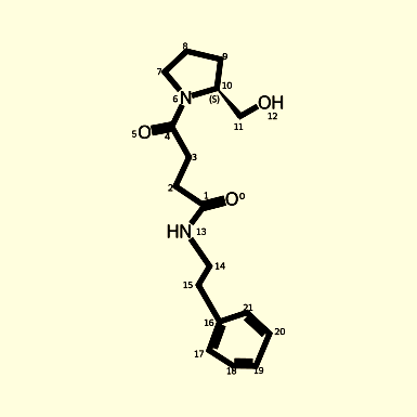 O=C(CCC(=O)N1CCC[C@H]1CO)NCCc1ccccc1